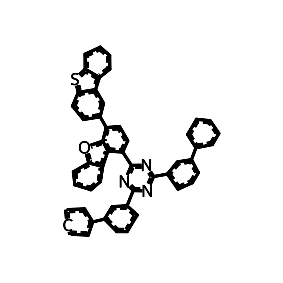 c1ccc(-c2cccc(-c3nc(-c4cccc(-c5ccccc5)c4)nc(-c4ccc(-c5ccc6sc7ccccc7c6c5)c5oc6ccccc6c45)n3)c2)cc1